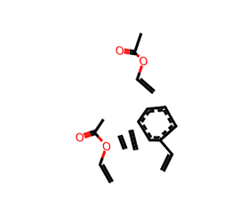 C=C.C=C.C=COC(C)=O.C=COC(C)=O.C=Cc1ccccc1